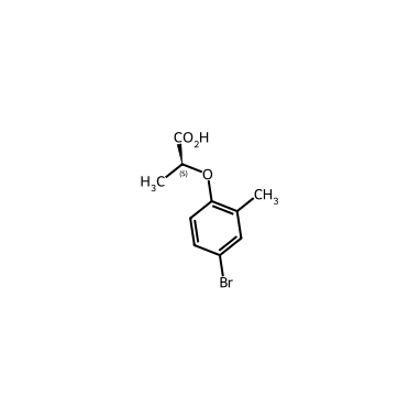 Cc1cc(Br)ccc1O[C@@H](C)C(=O)O